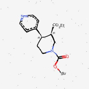 CCOC(=O)[C@H]1CN(C(=O)OC(C)(C)C)CC[C@H]1c1ccncc1